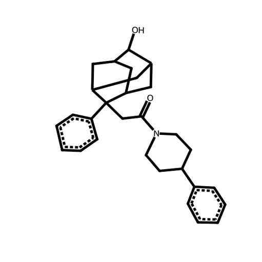 O=C(CC1(c2ccccc2)C2CC3CC1CC(C2)C3O)N1CCC(c2ccccc2)CC1